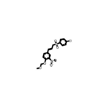 COCOc1ccc(C=CCS(=O)(=O)c2ccc(Cl)cc2)cc1[N+](=O)[O-]